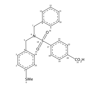 CSc1ccc(CN(Cc2ccccc2)S(=O)(=O)c2ccc(C(=O)O)cc2)cc1